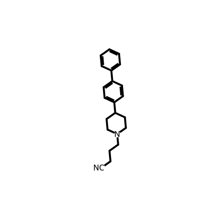 N#CCCCN1CCC(c2ccc(-c3ccccc3)cc2)CC1